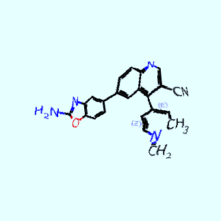 C=N/C=C\C(=C/C)c1c(C#N)cnc2ccc(-c3ccc4oc(N)nc4c3)cc12